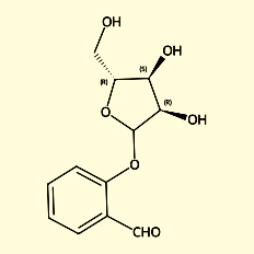 O=Cc1ccccc1OC1O[C@H](CO)[C@@H](O)[C@H]1O